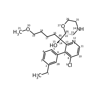 CCc1cccc(-c2c(Cl)ccnc2[C@](O)(CCCCOC)[C@H]2CNCCO2)c1